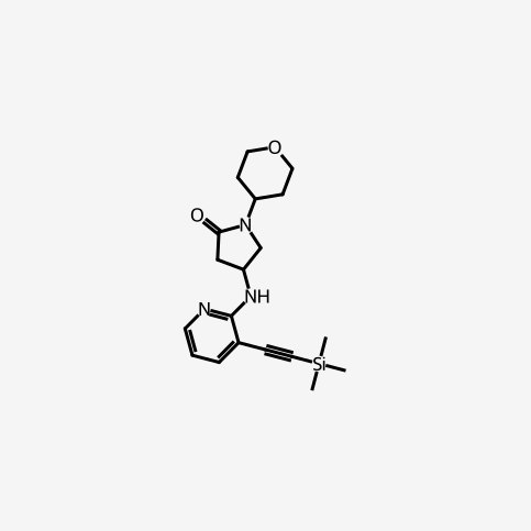 C[Si](C)(C)C#Cc1cccnc1NC1CC(=O)N(C2CCOCC2)C1